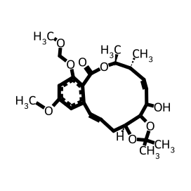 COCOc1cc(OC)cc2c1C(=O)O[C@@H](C)[C@H](C)/C=C\C(O)C1OC(C)(C)O[C@H]1C/C=C/2